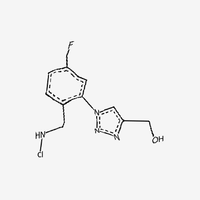 OCc1cn(-c2cc(F)ccc2CNCl)nn1